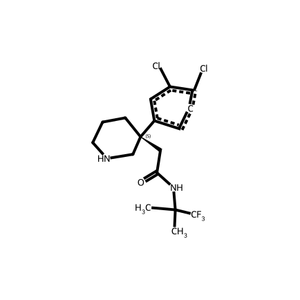 CC(C)(NC(=O)C[C@]1(c2ccc(Cl)c(Cl)c2)CCCNC1)C(F)(F)F